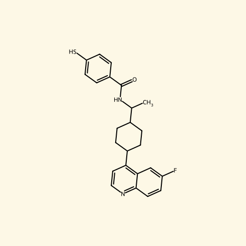 CC(NC(=O)c1ccc(S)cc1)C1CCC(c2ccnc3ccc(F)cc23)CC1